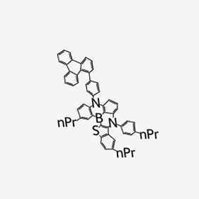 CCCc1ccc(N2c3cccc4c3B(c3cc(CCC)ccc3N4c3ccc(-c4cccc5c6ccccc6c6ccccc6c45)cc3)c3sc4ccc(CCC)cc4c32)cc1